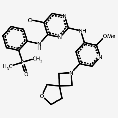 COc1ncc(N2CC3(CCOC3)C2)cc1Nc1ncc(Cl)c(Nc2ccccc2P(C)(C)=O)n1